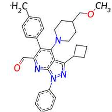 [CH2]c1ccc(-c2c(C=O)nc3c(c(C4CCC4)nn3-c3ccccc3)c2N2CCC(COC)CC2)cc1